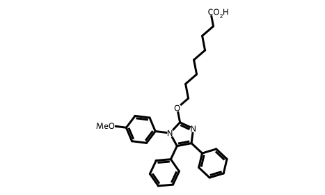 COc1ccc(-n2c(OCCCCCCCC(=O)O)nc(-c3ccccc3)c2-c2ccccc2)cc1